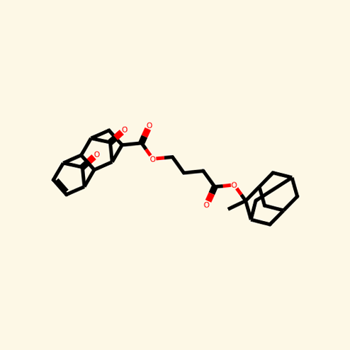 CC1(OC(=O)CCCOC(=O)C2CC3C(=O)C2C2C4C=CC(C4=O)C32)C2CC3CC(C2)CC1C3